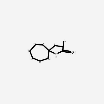 CCC1(OC(C)=O)CCCCCC1